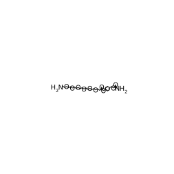 NCCOCCOCCOCCOCCOCCOCCC(=O)Oc1ccc(COC(N)=O)cc1